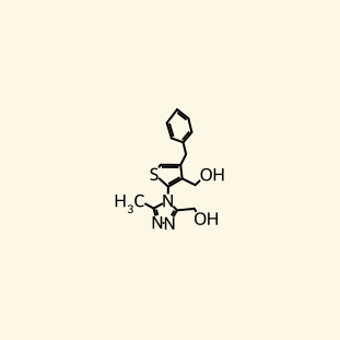 Cc1nnc(CO)n1-c1scc(Cc2ccccc2)c1CO